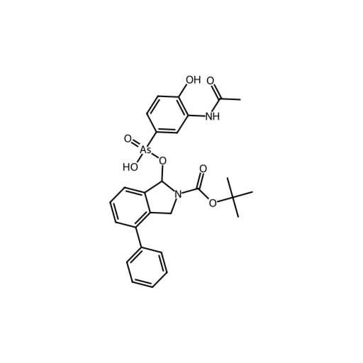 CC(=O)Nc1cc([As](=O)(O)OC2c3cccc(-c4ccccc4)c3CN2C(=O)OC(C)(C)C)ccc1O